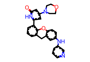 O=c1cc(N2CCOCC2)cc(-c2cccc3c2Oc2ccc(Nc4cccnc4)cc2C3)[nH]1